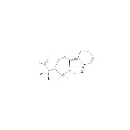 CCC(=O)[C@@]1(C)CC[C@H]2[C@@H]3CC=C4C=CCCC4=C3CC[C@@]21C